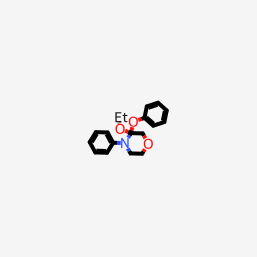 CCOC1(Oc2ccccc2)COCCN1c1ccccc1